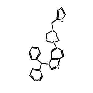 c1ccc(C(c2ccccc2)n2cnc3ccc(N4CCN(Cc5ccco5)CC4)cc32)cc1